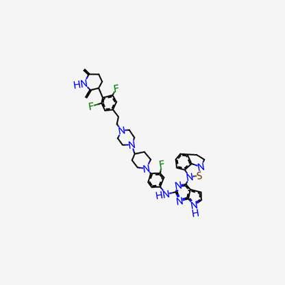 C=C1CCC(c2c(F)cc(CCN3CCN(C4CCN(c5ccc(Nc6nc(N7SN8CCc9cccc7c98)c7cc[nH]c7n6)cc5F)CC4)CC3)cc2F)C(=C)N1